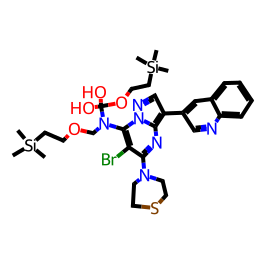 C[Si](C)(C)CCOCN(c1c(Br)c(N2CCSCC2)nc2c(-c3cnc4ccccc4c3)cnn12)C(O)(O)OCC[Si](C)(C)C